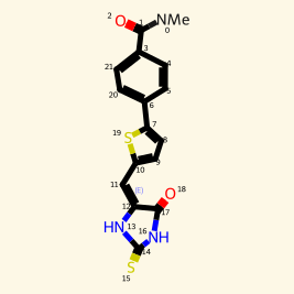 CNC(=O)c1ccc(-c2ccc(/C=C3/NC(=S)NC3=O)s2)cc1